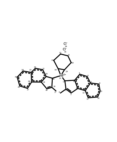 CC1=Cc2c(ccc3ccccc23)[CH]1[Hf+2]1([CH]2C(C)=Cc3c2ccc2ccccc32)[CH]2CCCC[CH]21.[Cl-].[Cl-]